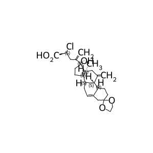 C=C1C[C@@]2(C)[C@@H](CC[C@@]2(O)C(=C)C[C@H](Cl)C(=O)O)[C@@H]2CC=C3CC4(CC[C@@H]3[C@@H]12)OCCO4